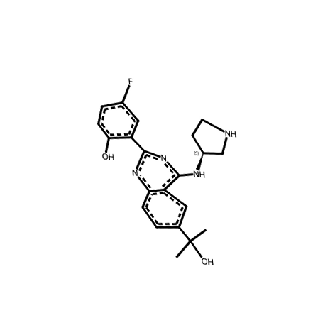 CC(C)(O)c1ccc2nc(-c3cc(F)ccc3O)nc(N[C@H]3CCNC3)c2c1